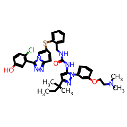 CCC(C)(C)c1cc(NC(=O)NCc2ccccc2Sc2ccc3nnc(-c4cc(O)ccc4Cl)n3c2)n(-c2cccc(OCCN(C)C)c2)n1